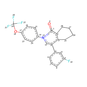 O=c1c2c(c(-c3cccc(F)c3)cn1-c1ccc(OC(F)(F)F)cc1)CCCC2